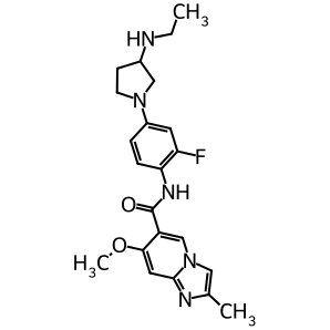 CCNC1CCN(c2ccc(NC(=O)c3cn4cc(C)nc4cc3OC)c(F)c2)C1